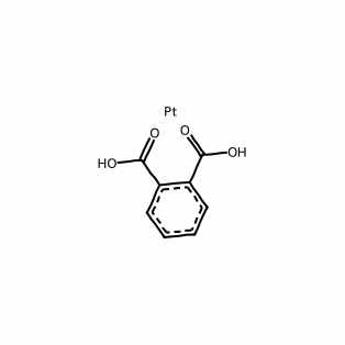 O=C(O)c1ccccc1C(=O)O.[Pt]